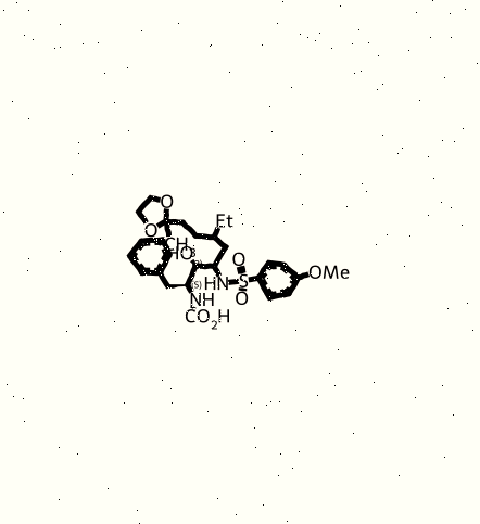 CCC(CCC1(C)OCCO1)CC(NS(=O)(=O)c1ccc(OC)cc1)[C@H](O)[C@H](Cc1ccccc1)NC(=O)O